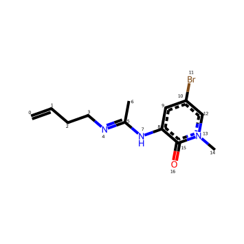 C=CCC/N=C(\C)Nc1cc(Br)cn(C)c1=O